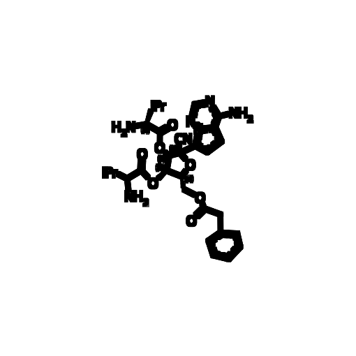 CC(C)C(N)C(=O)O[C@H]1[C@@H](OC(=O)[C@@H](N)C(C)C)[C@](C#N)(c2ccc3c(N)ncnn23)O[C@@H]1COC(=O)Cc1ccccc1